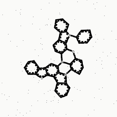 c1ccc(-n2c3ccccc3c3ccc4c(c32)Oc2cccc3c2B4c2cc4c5ccccc5sc4c4c5ccccc5n-3c24)cc1